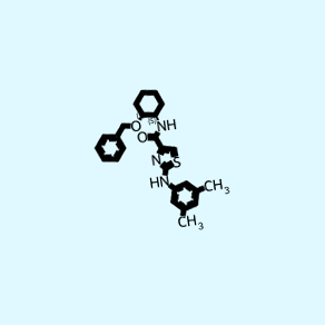 Cc1cc(C)cc(Nc2nc(C(=O)N[C@H]3CCCC[C@@H]3OCc3ccccc3)cs2)c1